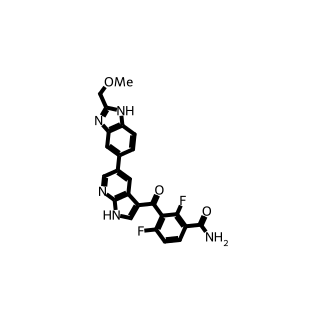 COCc1nc2cc(-c3cnc4[nH]cc(C(=O)c5c(F)ccc(C(N)=O)c5F)c4c3)ccc2[nH]1